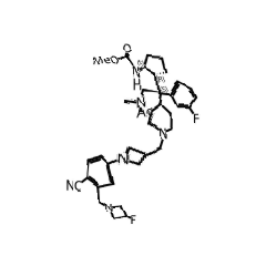 COC(=O)N[C@H]1CCC[C@@H]1[C@](CN(C)C(C)=O)(c1cccc(F)c1)C1CCN(CC2CN(c3ccc(C#N)c(CN4CC(F)C4)c3)C2)CC1